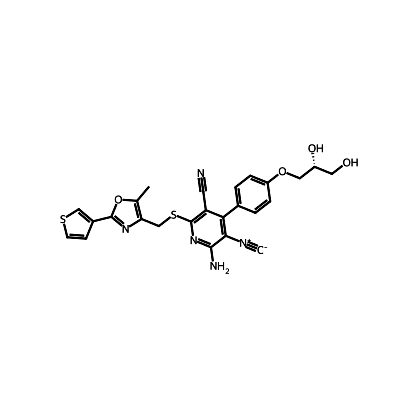 [C-]#[N+]c1c(N)nc(SCc2nc(-c3ccsc3)oc2C)c(C#N)c1-c1ccc(OC[C@H](O)CO)cc1